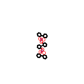 c1ccc(-c2ccccc2Op2oc3ccccc3c3ccccc3o2)c(Op2oc3ccccc3c3ccccc3o2)c1